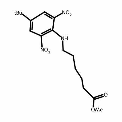 COC(=O)CCCCCNc1c([N+](=O)[O-])cc(C(C)(C)C)cc1[N+](=O)[O-]